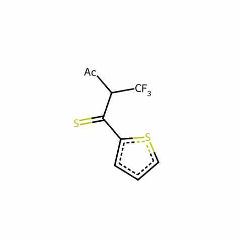 CC(=O)C(C(=S)c1cccs1)C(F)(F)F